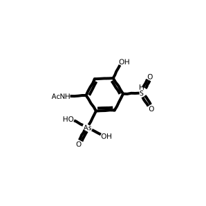 CC(=O)Nc1cc(O)c([SH](=O)=O)cc1[As](=O)(O)O